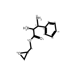 BC(C(=O)OCC1CO1)C(B)c1ccccc1